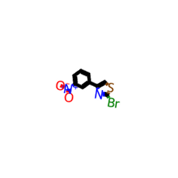 O=[N+]([O-])c1cccc(-c2csc(Br)n2)c1